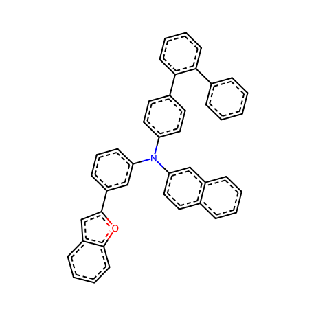 c1ccc(-c2ccccc2-c2ccc(N(c3cccc(-c4cc5ccccc5o4)c3)c3ccc4ccccc4c3)cc2)cc1